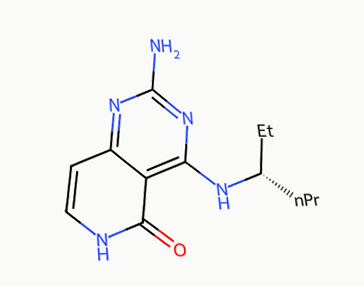 CCC[C@@H](CC)Nc1nc(N)nc2cc[nH]c(=O)c12